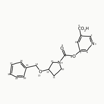 O=C(O)c1cncc(OC(=O)N2CCC(OCc3ccccc3)C2)c1